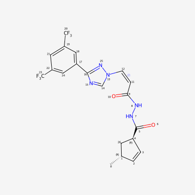 C[C@H]1C=C[C@H](C(=O)NNC(=O)/C=C\n2cnc(-c3cc(C(F)(F)F)cc(C(F)(F)F)c3)n2)C1